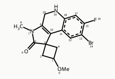 COC1CC2(C1)C(=O)N(C)C1=C2c2cc(Br)c(F)cc2NC1